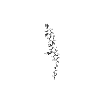 C=COCCCCCCc1ccc(-c2ccc(C(=O)Oc3ccc(-c4ccc(C#N)cc4F)cc3)cc2C=N)cc1